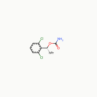 CCC[C@@H](OC(N)=O)c1c(Cl)cccc1Cl